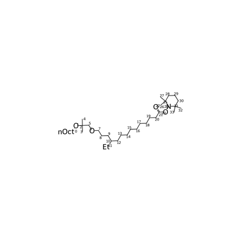 CCCCCCCCOC(C)(C)COCCCC(CC)CCCCCCCCCC(=O)ON1C(C)(C)CCCC1(C)C